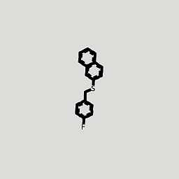 Fc1ccc(CSc2ccc3ccccc3c2)cc1